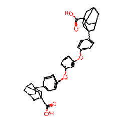 O=C(O)C12CC3CC(C1)CC(c1ccc(Oc4cccc(Oc5ccc(C67CC8CC(CC(C(=O)O)(C8)C6)C7)cc5)c4)cc1)(C3)C2